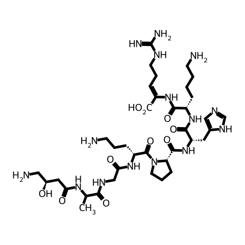 CC(NC(=O)C[C@@H](O)CN)C(=O)NCC(=O)N[C@H](CCCN)C(=O)N1CCC[C@H]1C(=O)N[C@@H](Cc1cnc[nH]1)C(=O)N[C@@H](CCCCN)C(=O)N/C(=C\CCNC(=N)N)C(=O)O